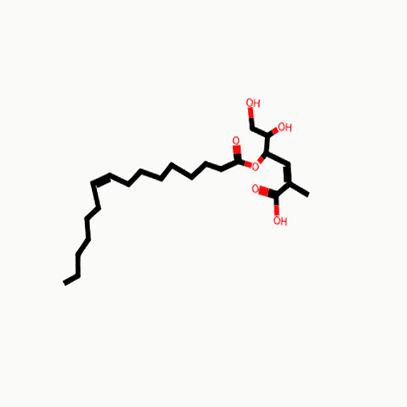 CCCCCC/C=C\CCCCCCCC(=O)OC(C=C(C)C(=O)O)C(O)CO